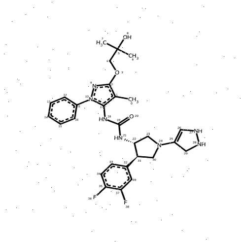 Cc1c(OCC(C)(C)O)nn(-c2ccccc2)c1NC(=O)N[C@@H]1CN(C2=CNNC2)C[C@H]1c1ccc(F)c(F)c1